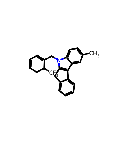 Cc1ccc2c(c1)c1c(n2CC2=CC=CCC2C(F)(F)F)Cc2ccccc2-1